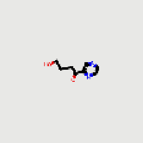 O=C(CCCO)c1cnccn1